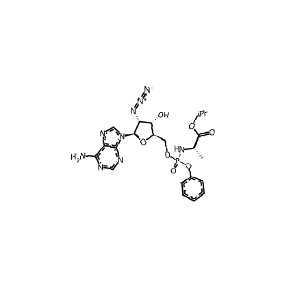 CC(C)OC(=O)[C@H](C)N[P@](=O)(OC[C@H]1O[C@@H](n2cnc3c(N)ncnc32)[C@H](N=[N+]=[N-])[C@@H]1O)Oc1ccccc1